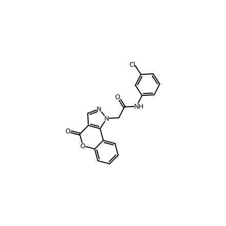 O=C(Cn1ncc2c(=O)oc3ccccc3c21)Nc1cccc(Cl)c1